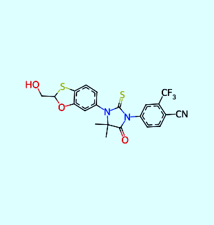 CC1(C)C(=O)N(c2ccc(C#N)c(C(F)(F)F)c2)C(=S)N1c1ccc2c(c1)OC(CO)S2